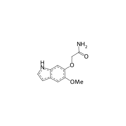 COc1cc2cc[nH]c2cc1OCC(N)=O